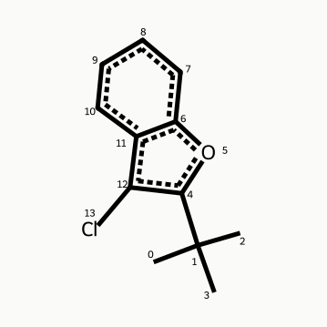 CC(C)(C)c1oc2ccccc2c1Cl